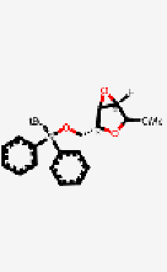 COC1O[C@H](CO[Si](c2ccccc2)(c2ccccc2)C(C)(C)C)C2O[C@H]12